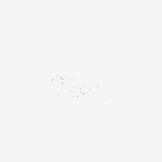 O=C(NCC1(c2ccc(C(F)(F)F)cc2)CCCCC1)c1cccn2nc(C(=O)N3CCOCC3)cc12